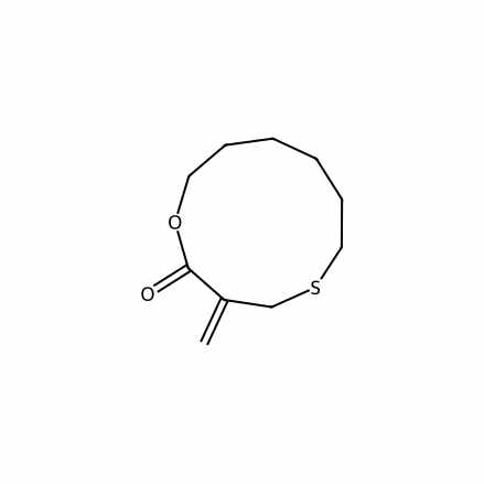 C=C1CSCCCCCCOC1=O